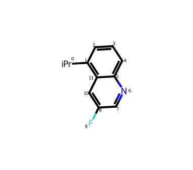 CC(C)c1cccc2ncc(F)cc12